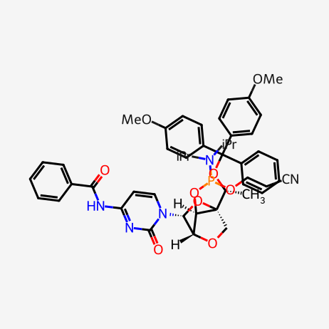 COc1ccc(C(O[C@H](C)[C@]23CO[C@H]([C@H](n4ccc(NC(=O)c5ccccc5)nc4=O)O2)[C@H]3OP(OCCC#N)N(C(C)C)C(C)C)(c2ccccc2)c2ccc(OC)cc2)cc1